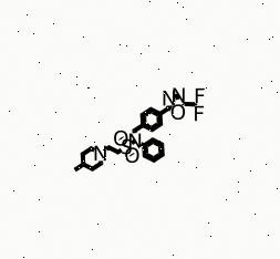 CC1CCN(CCS(=O)(=O)N(Cc2ccc(-c3nnc(C(F)F)o3)cc2)c2ccccc2)CC1